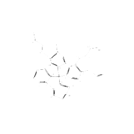 C=COc1ccc(C2(c3ccc(C)c(CCCC)c3)c3ccccc3-c3ccccc32)cc1CCCC